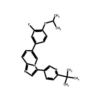 CC(C)Oc1ccc(-c2ccc3ncc(-c4ccc(C(C)(C)C)nc4)n3c2)cc1F